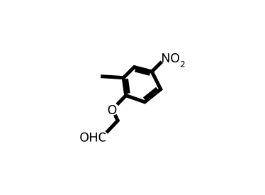 Cc1cc([N+](=O)[O-])ccc1OCC=O